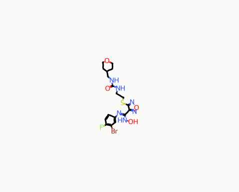 O=C(NCCSc1nonc1C(=Nc1ccc(F)c(Br)c1)NO)NCC1CCOCC1